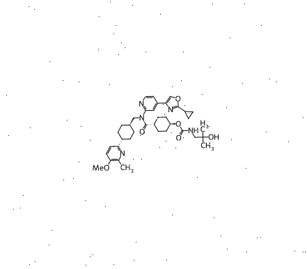 COc1ccc([C@H]2CC[C@H](CN(c3cc(-c4coc(C5CC5)n4)ccn3)C(=O)[C@H]3CC[C@H](OC(=O)NCC(C)(C)O)CC3)CC2)nc1C